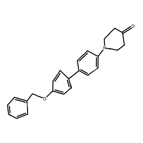 O=C1CCN(c2ccc(-c3ccc(OCc4ccccc4)cc3)cc2)CC1